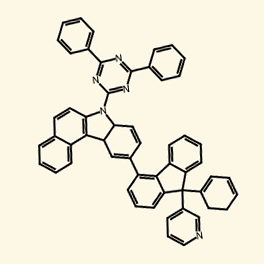 C1=CCCC(C2(c3cccnc3)c3ccccc3-c3c(C4=CC5c6c(ccc7ccccc67)N(c6nc(-c7ccccc7)nc(-c7ccccc7)n6)C5C=C4)cccc32)=C1